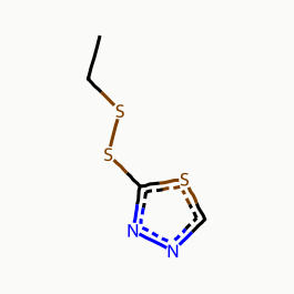 CCSSc1nncs1